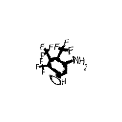 Nc1cc(O)c(C(F)(F)F)c(C(F)(F)F)c1C(F)(F)F